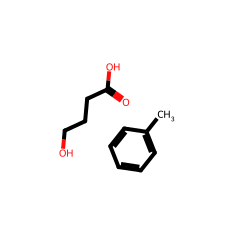 Cc1ccccc1.O=C(O)CCCO